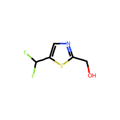 OCc1ncc(C(F)F)s1